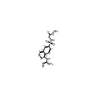 CC(C)(C)OC(=O)CNS(=O)(=O)c1ccc2c(NC(N)=NCl)cncc2c1